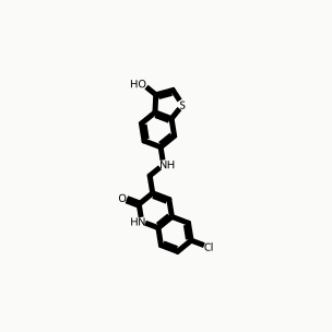 O=c1[nH]c2ccc(Cl)cc2cc1CNc1ccc2c(O)csc2c1